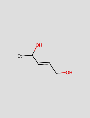 CCC(O)C=CCO